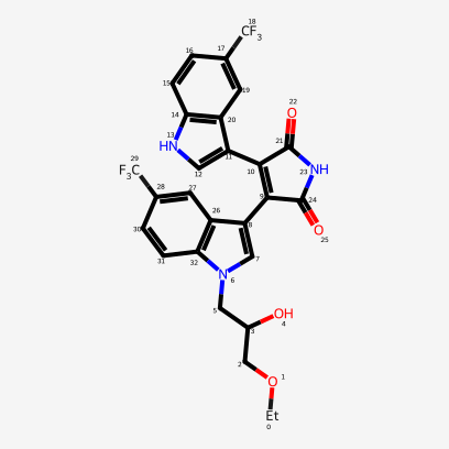 CCOCC(O)Cn1cc(C2=C(c3c[nH]c4ccc(C(F)(F)F)cc34)C(=O)NC2=O)c2cc(C(F)(F)F)ccc21